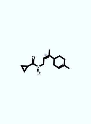 CCN(C/C=C(/C)C1CC=C(C)CC1)C(=O)C1CC1